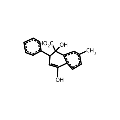 Cc1ccc2c(c1)C(O)(C(=O)O)C(c1ccccc1)C=C2O